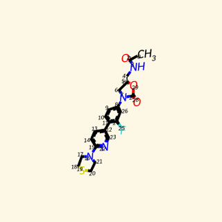 CC(=O)NC[C@H]1CN(c2ccc(-c3ccc(N4CCSCC4)nc3)c(F)c2)C(=O)O1